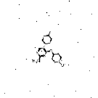 C[C@H]1CC[C@H](c2cnc(N)nc2OC2CC[S+]([O-])CC2)CC1